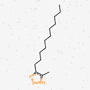 CCCCCCCCCCCc1pp[pH]c1C